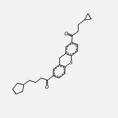 O=C(CCCC1CCCC1)c1ccc2c(c1)Cc1cc(C(=O)CCC3CC3)ccc1S2